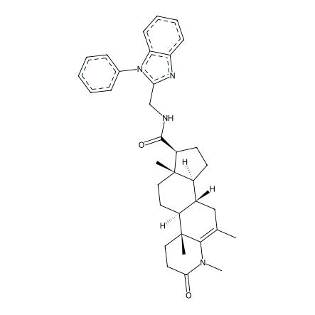 CC1=C2N(C)C(=O)CC[C@]2(C)[C@H]2CC[C@]3(C)[C@@H](C(=O)NCc4nc5ccccc5n4-c4ccccc4)CC[C@H]3[C@@H]2C1